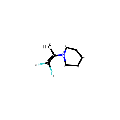 CC(=C(F)F)N1CCCCC1